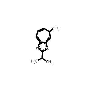 CC1C=CC=c2nc(C(C)C)sc2=C1